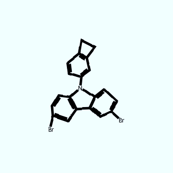 Brc1ccc2c(c1)c1cc(Br)ccc1n2-c1ccc2c(c1)CC2